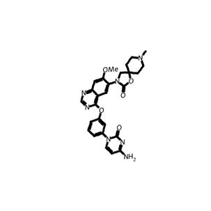 COc1cc2ncnc(Oc3cccc(-n4ccc(N)nc4=O)c3)c2cc1N1CC2(CCN(C)CC2)OC1=O